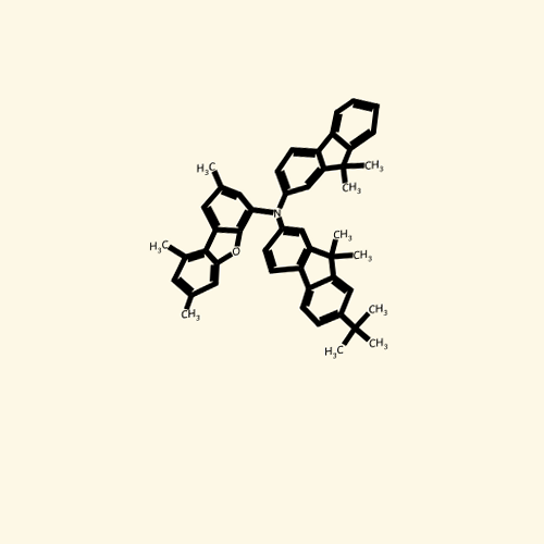 Cc1cc(C)c2c(c1)oc1c(N(c3ccc4c(c3)C(C)(C)c3ccccc3-4)c3ccc4c(c3)C(C)(C)c3cc(C(C)(C)C)ccc3-4)cc(C)cc12